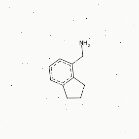 NCc1cccc2c1CCC2